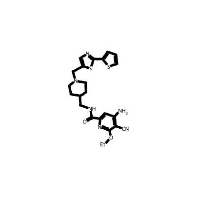 CCOc1nc(C(=O)NCC2CCN(Cc3cnc(-c4cccs4)s3)CC2)cc(N)c1C#N